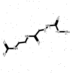 CCC(=O)NCCNC(=O)CONC(=O)OC(C)(C)C